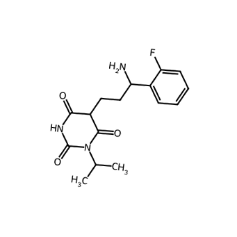 CC(C)N1C(=O)NC(=O)C(CCC(N)c2ccccc2F)C1=O